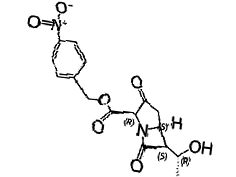 C[C@@H](O)[C@H]1C(=O)N2[C@@H](C(=O)OCc3ccc([N+](=O)[O-])cc3)C(=O)C[C@@H]12